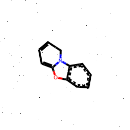 C1=CCN2C(=C1)Oc1ccccc12